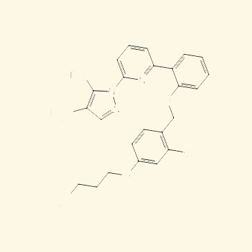 Cc1cc(OCCCC(=O)O)ccc1COc1ccccc1-c1cccc(-n2ncc(C(=O)O)c2C(F)(F)F)n1